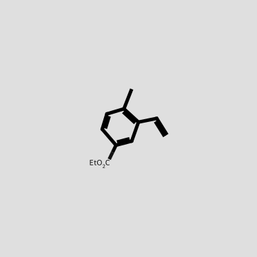 C=Cc1cc(C(=O)OCC)ccc1C